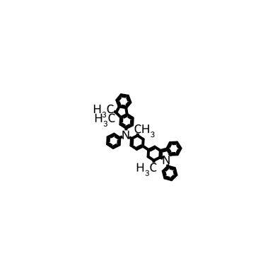 CC1CC(C2=Cc3c(n(-c4ccccc4)c4ccccc34)C(C)C2)=CC=C1N(c1ccccc1)c1ccc2c(c1)C(C)(C)c1ccccc1-2